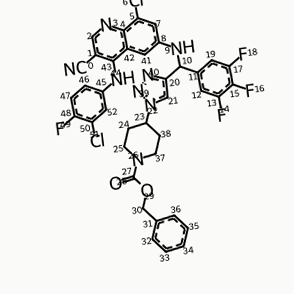 N#Cc1cnc2c(Cl)cc(NC(c3cc(F)c(F)c(F)c3)c3cn(C4CCN(C(=O)OCc5ccccc5)CC4)nn3)cc2c1Nc1ccc(F)c(Cl)c1